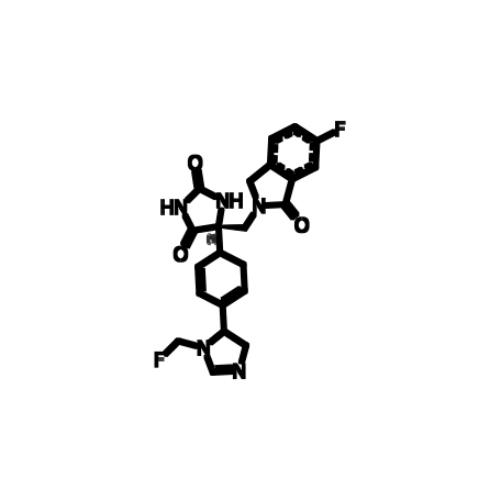 O=C1NC(=O)[C@@](CN2Cc3ccc(F)cc3C2=O)(C2C=CC(C3CN=CN3CF)=CC2)N1